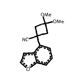 COC1(OC)CC(C#N)(c2cccc3occc23)C1